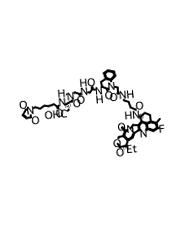 CC[C@H]1C(=O)OCc2c1cc1n(c2=O)Cc2c-1nc1cc(F)c(C)c3c1c2[C@@H](NC(=O)CCCNC(=O)CN1C(=O)C(NC(=O)CNC(=O)CN(C)C(=O)[C@H](CC=O)NC(=O)CCCCCN2C(=O)C=CC2=O)Cc2ccccc21)CC3